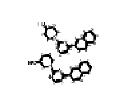 OC1CCCN(c2nccc(-c3ccc4ccccc4c3)n2)C1.OC1CCN(c2nccc(-c3ccc4ccccc4c3)n2)CC1